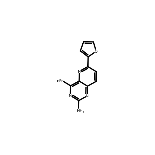 CCCc1nc(N)nc2ccc(-c3ccco3)nc12